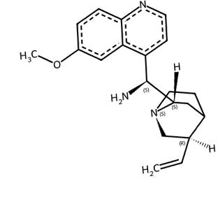 C=C[C@H]1C[N@@]2CCC1C[C@H]2[C@@H](N)c1ccnc2ccc(OC)cc12